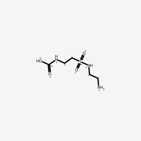 NCCNS(=O)(=O)CCNC(=O)O